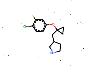 Fc1cc(OC2(CC3CCNC3)CC2)ccc1Cl